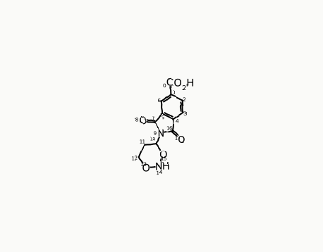 O=C(O)c1ccc2c(c1)C(=O)N(C1CCONO1)C2=O